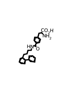 N[C@@H](Cc1ccc(C(=O)NCCCCc2ccccc2-c2ccccc2)cc1)C(=O)O